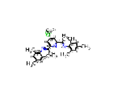 C/C(=N\c1c(C)cc(C)cc1C)c1cccc(/C(C)=N/c2c(C)cc(C)cc2C)n1.[Cl-].[Cl-].[Co+2]